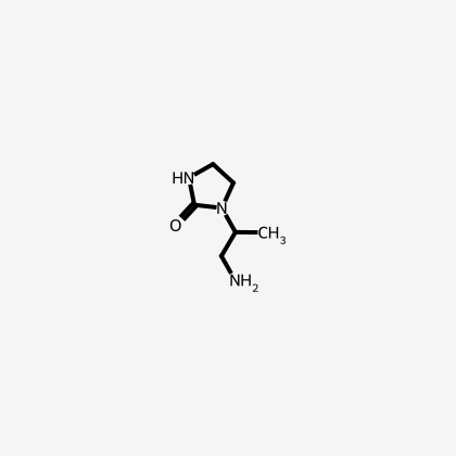 CC(CN)N1CCNC1=O